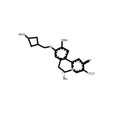 COc1cc2c(cc1OCC1CC(OC)C1)C[C@@H](C(C)(C)C)n1cc(C(=O)O)c(=O)cc1-2